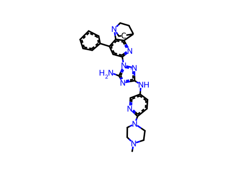 CN1CCN(c2ccc(Nc3nc(N)n(-c4cc(-c5ccccc5)c5c(n4)C4CCN5CC4)n3)cn2)CC1